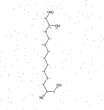 N#CC(CO)CSCCCCSCCC(O)CN=O